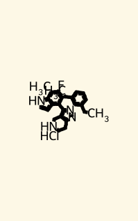 CCc1cccc(CC)c1-n1nc2c(c1-c1cc(F)c(C)c3[nH]ccc13)CNCC2.Cl